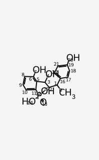 CC(CC(O)c1c(O)cccc1P(=O)(O)O)c1ccc(O)cc1